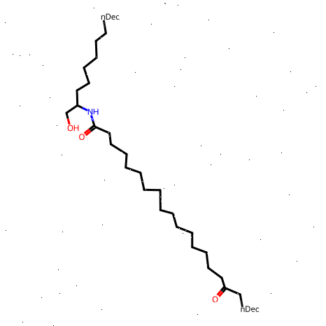 CCCCCCCCCCCCCCCCC(CO)NC(=O)CCCCCCCCCCCCCCCC(=O)CCCCCCCCCCC